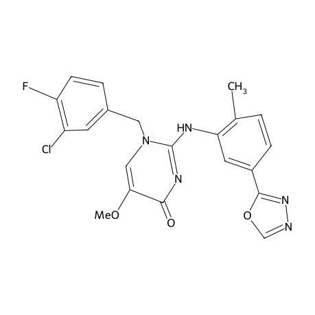 COc1cn(Cc2ccc(F)c(Cl)c2)c(Nc2cc(-c3nnco3)ccc2C)nc1=O